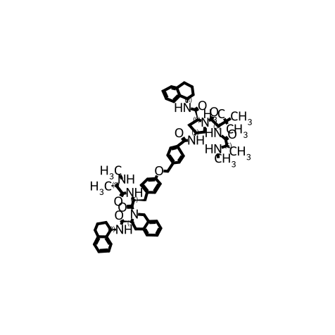 CN[C@@H](C)C(=O)N[C@@H](Cc1ccc(OCc2ccc(C(=O)N[C@H]3C[C@@H](C(=O)N[C@@H]4CCCc5ccccc54)N(C(=O)[C@@H](NC(=O)[C@H](C)NC)C(C)(C)C)C3)cc2)cc1)C(=O)N1Cc2ccccc2C[C@H]1C(=O)N[C@@H]1CCCc2ccccc21